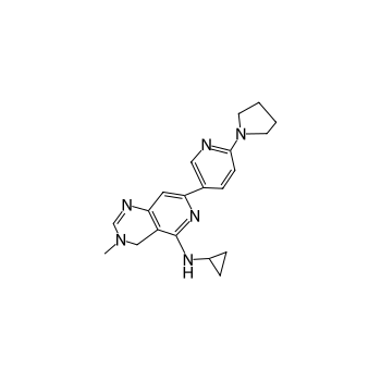 CN1C=Nc2cc(-c3ccc(N4CCCC4)nc3)nc(NC3CC3)c2C1